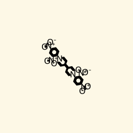 O=[N+]([O-])c1ccc(N2C=CC(=C3C=CN(c4ccc([N+](=O)[O-])cc4[N+](=O)[O-])C=C3)C=C2)c([N+](=O)[O-])c1